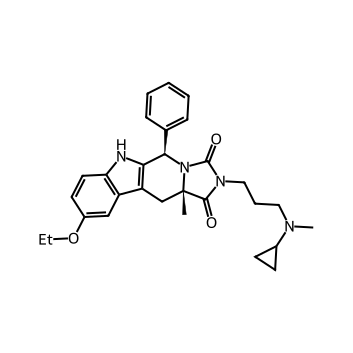 CCOc1ccc2[nH]c3c(c2c1)C[C@@]1(C)C(=O)N(CCCN(C)C2CC2)C(=O)N1[C@@H]3c1ccccc1